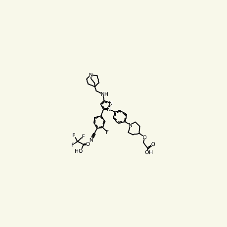 N#Cc1ccc(-c2cc(NCC34CCN(CC3)CC4)nn2-c2ccc(N3CCC(OCC(=O)O)CC3)cc2)cc1F.O=C(O)C(F)(F)F